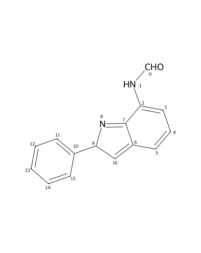 O=CNc1cccc2c1=NC(c1ccccc1)C=2